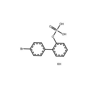 O=P(O)(O)Oc1ccccc1-c1ccc(Br)cc1.[KH]